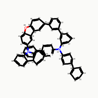 C=C(/C=C\C(=C/C)c1ccccc1)N(c1ccc(-c2ccccc2)cc1)c1cccc(-c2cccc(-c3ccc4oc5ccc(N6c7ccccc7C7C=CC=CC76)cc5c4c3)c2)c1